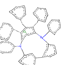 Clc1c2c(-c3ccccc3)c(-c3ccccc3)c(-c3ccccc3)c1N(c1ccccc1)c1cccc(c1)-c1cccc(c1)N2c1ccccc1